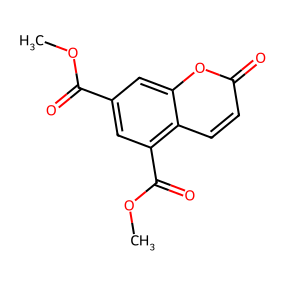 COC(=O)c1cc(C(=O)OC)c2ccc(=O)oc2c1